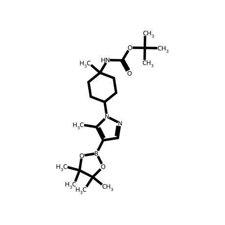 Cc1c(B2OC(C)(C)C(C)(C)O2)cnn1C1CCC(C)(NC(=O)OC(C)(C)C)CC1